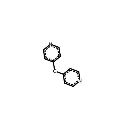 c1cc(Oc2ccncc2)ccn1